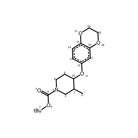 CC1CN(C(=O)OC(C)(C)C)CCC1Oc1ccc2c(c1)OCCO2